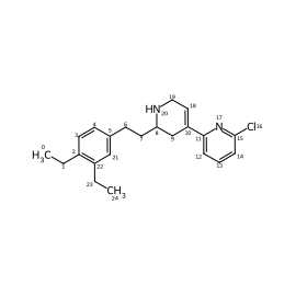 CCc1ccc(CCC2CC(c3cccc(Cl)n3)=CCN2)cc1CC